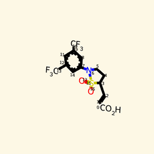 O=C(O)C=CC1CCN(c2cc(C(F)(F)F)cc(C(F)(F)F)c2)S1(=O)=O